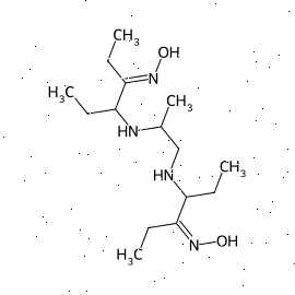 CCC(=NO)C(CC)NCC(C)NC(CC)C(CC)=NO